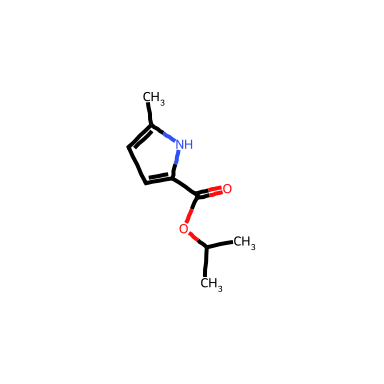 Cc1ccc(C(=O)OC(C)C)[nH]1